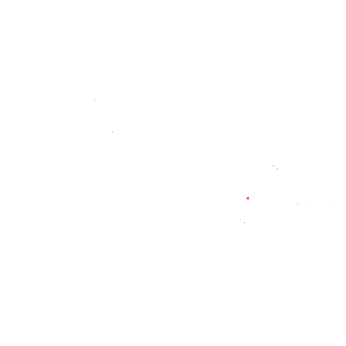 CC1N(c2ccc3c(-c4ccccc4S(=O)(=O)N4CCC(C(=O)O)CC4)c4cc/c(=[N+]5/CCc6ccccc65)cc-4oc3c2)c2cc3ccccc3cc2C1(C)C